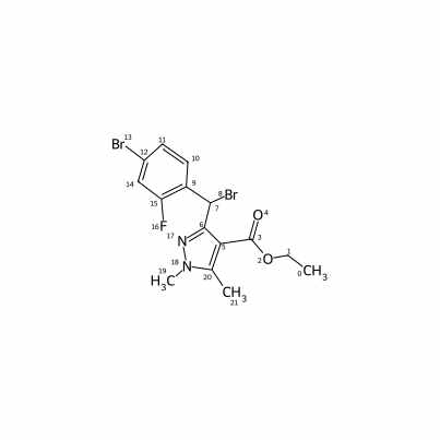 CCOC(=O)c1c(C(Br)c2ccc(Br)cc2F)nn(C)c1C